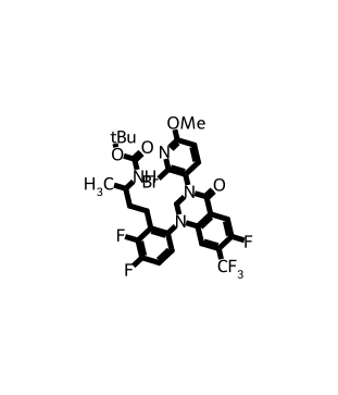 COc1ccc(N2CN(c3ccc(F)c(F)c3CCC(C)NC(=O)OC(C)(C)C)c3cc(C(F)(F)F)c(F)cc3C2=O)c(Br)n1